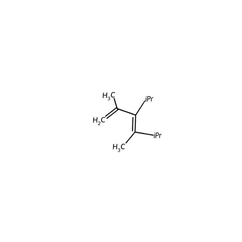 C=C(C)/C(=C(\C)C(C)C)C(C)C